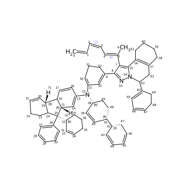 C=C/C=C\C=C(/C)c1c(C2=CC(N(C3=C[C@H]4C(C=C3)[C@H]3C=CCCC3C4(c3ccccc3)[C@H]3C=CCCC3)[C@H]3C=C[C@@H]([C@H]4C=CC=CC4)CC3)=CCC2)nn2c1C1=C(CCCC1)CC2C1=CC=CCC1